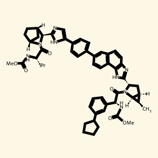 COC(=O)N[C@H](C(=O)N1[C@@H]2CC[C@@H](C2)[C@H]1c1ncc(-c2ccc(-c3ccc4c(ccc5nc([C@@H]6C[C@H]7[C@@H](C)[C@H]7N6C(=O)[C@H](NC(=O)OC)c6cccc(C7CCCC7)c6)[nH]c54)c3)cc2)[nH]1)C(C)C